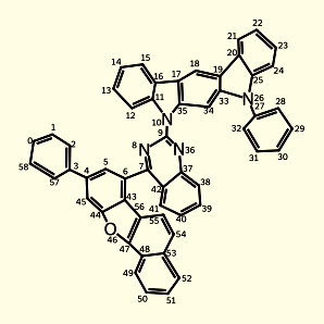 c1ccc(-c2cc(-c3nc(-n4c5ccccc5c5cc6c7ccccc7n(-c7ccccc7)c6cc54)nc4ccccc34)c3c(c2)oc2c4ccccc4ccc23)cc1